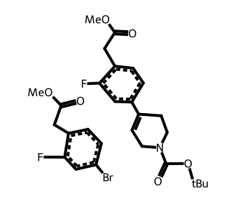 COC(=O)Cc1ccc(Br)cc1F.COC(=O)Cc1ccc(C2=CCN(C(=O)OC(C)(C)C)CC2)cc1F